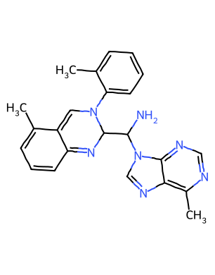 Cc1ccccc1N1C=c2c(C)cccc2=NC1C(N)n1cnc2c(C)ncnc21